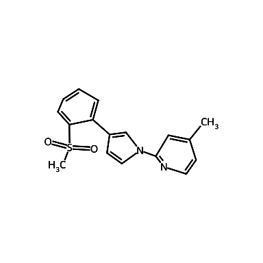 Cc1ccnc(-n2ccc(-c3ccccc3S(C)(=O)=O)c2)c1